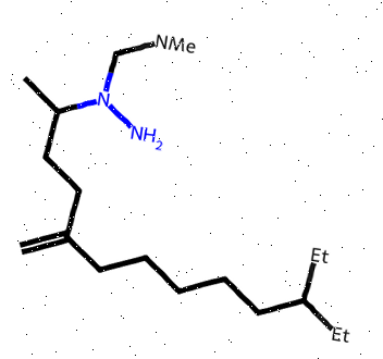 C=C(CCCCCC(CC)CC)CCC(C)N(N)CNC